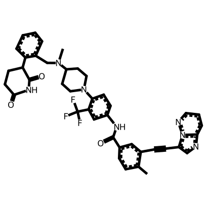 Cc1ccc(C(=O)Nc2ccc(N3CCC(N(C)Cc4ccccc4C4CCC(=O)NC4=O)CC3)c(C(F)(F)F)c2)cc1C#Cc1cnc2cccnn12